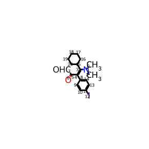 CN(C)C(=C(C(=O)C=O)c1ccc(I)cc1)C1CCCCC1